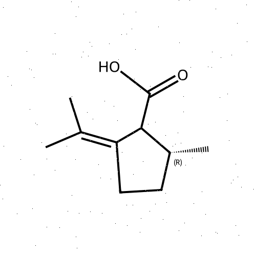 CC(C)=C1CC[C@@H](C)C1C(=O)O